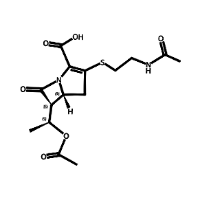 CC(=O)NCCSC1=C(C(=O)O)N2C(=O)[C@H]([C@H](C)OC(C)=O)[C@H]2C1